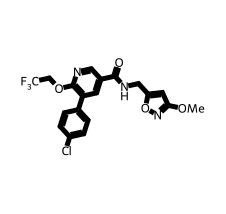 COc1cc(CNC(=O)c2cnc(OCC(F)(F)F)c(-c3ccc(Cl)cc3)c2)on1